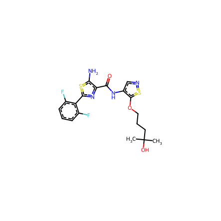 CC(C)(O)CCCOc1sncc1NC(=O)c1nc(-c2c(F)cccc2F)sc1N